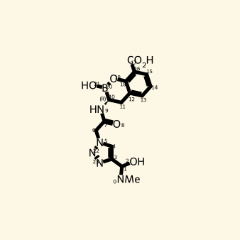 CNC(O)c1cn(CC(=O)N[C@H]2Cc3cccc(C(=O)O)c3OB2O)nn1